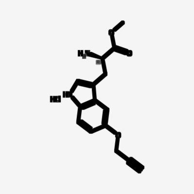 C#CCOc1ccc2[nH]cc(C[C@@H](N)C(=O)OC)c2c1.Cl